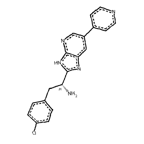 N[C@H](Cc1ccc(Cl)cc1)c1nc2cc(-c3ccncc3)cnc2[nH]1